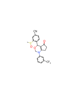 C[S+]([O-])c1cc(C#N)ccc1C1OCN(c2cccc(C(F)(F)F)c2)C2=C1C(=O)CC2